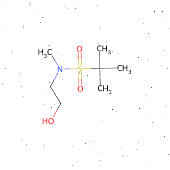 CN(CCO)S(=O)(=O)C(C)(C)C